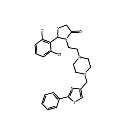 O=C1CSC(c2c(Cl)cccc2Cl)N1CCN1CCN(Cc2csc(-c3ccccc3)n2)CC1